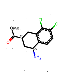 COC(=O)[C@H]1Cc2c(ccc(Cl)c2Cl)[C@@H](N)C1